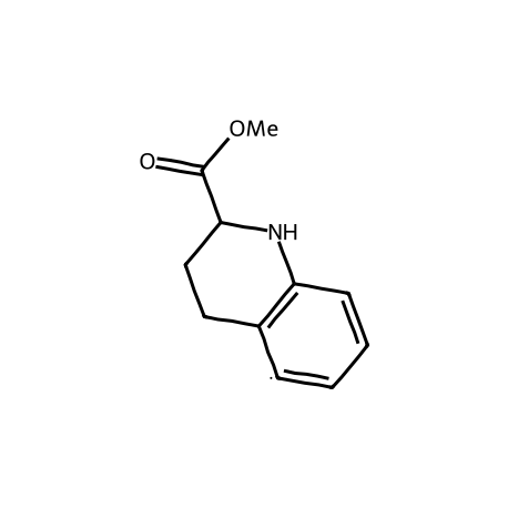 COC(=O)C1CCc2[c]cccc2N1